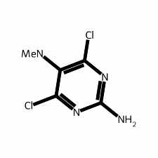 CNc1c(Cl)nc(N)nc1Cl